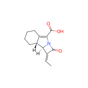 CC=C1C(=O)N2C(C(=O)O)=C3CCCC[C@H]3[C@H]12